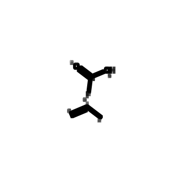 C=CC.O=C(O)F